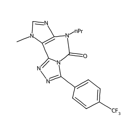 CCCn1c(=O)n2c(-c3ccc(C(F)(F)F)cc3)nnc2c2c1ncn2C